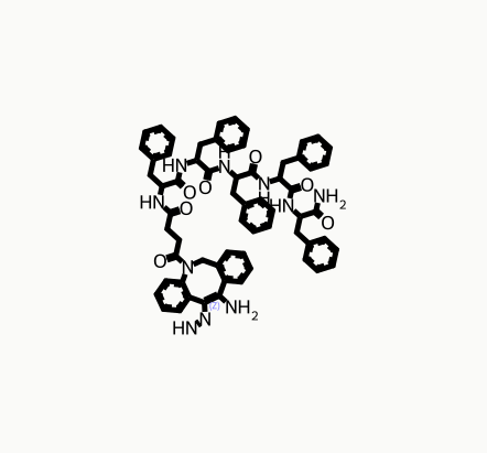 N=N/C1=C(\N)c2ccccc2CN(C(=O)CCC(=O)NC(Cc2ccccc2)C(=O)NC(Cc2ccccc2)C(=O)NC(Cc2ccccc2)C(=O)NC(Cc2ccccc2)C(=O)NC(Cc2ccccc2)C(N)=O)c2ccccc21